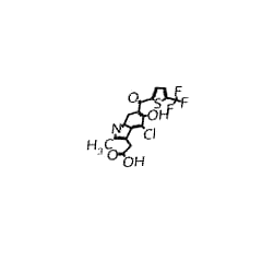 CC1=C(CC(=O)O)C2=C(Cl)C(O)=C(C(=O)c3ccc(C(F)(F)F)s3)CC2=N1